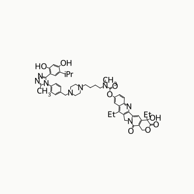 CCc1c2c(nc3ccc(OC(=O)N(C)CCCCN4CCN(Cc5ccc(-n6c(C)nnc6-c6cc(C(C)C)c(O)cc6O)cc5)CC4)cc13)-c1cc3c(c(=O)n1C2)COC(=O)C3(O)CC